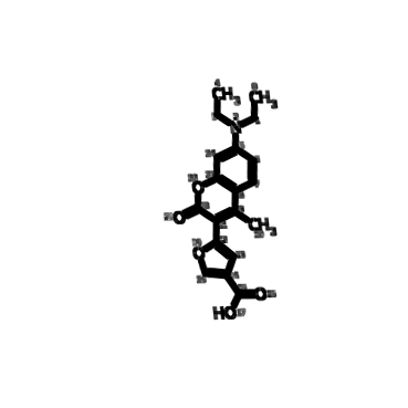 CCN(CC)c1ccc2c(C)c(-c3cc(C(=O)O)co3)c(=O)oc2c1